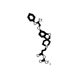 CCC(COc1ccc2c(c1)OCC21CCN(CCC(=O)OC(=O)C(F)(F)F)CC1)Oc1ccccc1